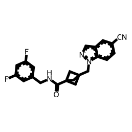 N#Cc1ccc2c(cnn2CC23CC(C(=O)NCc4cc(F)cc(F)c4)(C2)C3)c1